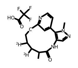 O=C(O)C(F)(F)F.[2H]C1CCc2cc(ccn2)-c2c(cnn2C)NC(=O)C(C)C1[2H]